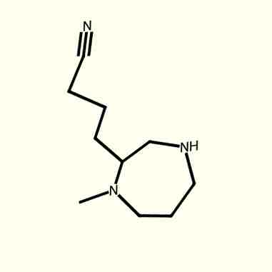 CN1CCCNCC1CCCC#N